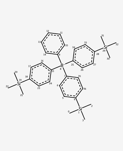 C[Si](C)(C)c1ccc([B-](c2ccccc2)(c2ccc([Si](C)(C)C)cc2)c2ccc([Si](C)(C)C)cc2)cc1